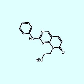 CC(C)(C)CCn1c(=O)ccc2cnc(Nc3ccccc3)nc21